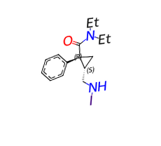 CCN(CC)C(=O)[C@]1(c2ccccc2)C[C@@H]1CNI